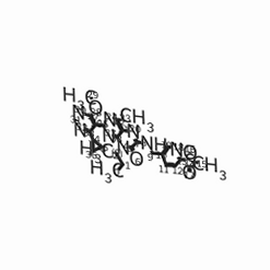 CC[C@H](C)n1c(=O)c(NCc2ccc(S(C)(=O)=O)nc2)nc2c(C)nc(-c3c(OC)ncnc3C3CC3)nc21